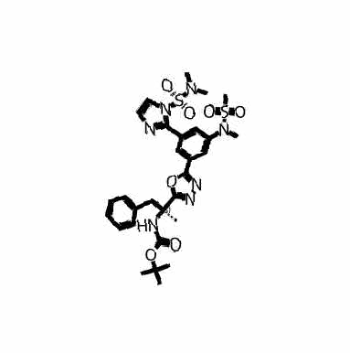 CN(c1cc(-c2nnc([C@](C)(Cc3ccccc3)NC(=O)OC(C)(C)C)o2)cc(-c2nccn2S(=O)(=O)N(C)C)c1)S(C)(=O)=O